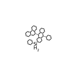 c1ccc([SiH2]c2ccc3c(-c4ccccc4)c4ccccc4c(-c4cc5ccccc5c5ccccc45)c3c2)cc1